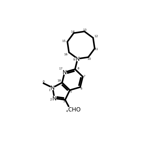 Cn1nc(C=O)c2ccc(N3CCCCCCC3)nc21